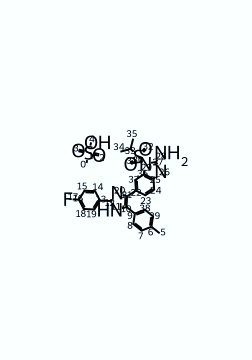 CS(=O)(=O)O.Cc1ccc(-c2[nH]c(-c3ccc(F)cc3)nc2-c2ccc3nc(N)n(S(=O)(=O)C(C)C)c3c2)cc1